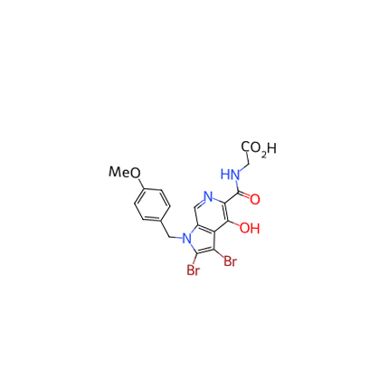 COc1ccc(Cn2c(Br)c(Br)c3c(O)c(C(=O)NCC(=O)O)ncc32)cc1